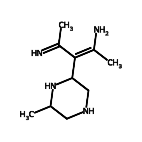 CC(=N)/C(=C(/C)N)C1CNCC(C)N1